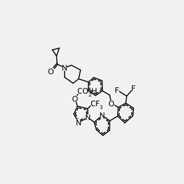 O=C(O)Oc1cnn(-c2cccc(-c3cccc(C(F)F)c3OCc3ccc(C4CCN(C(=O)C5CC5)CC4)cc3)n2)c1C(F)(F)F